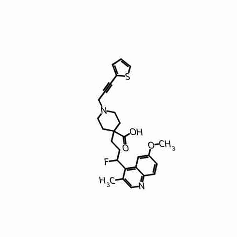 COc1ccc2ncc(C)c(C(F)CCC3(C(=O)O)CCN(CC#Cc4cccs4)CC3)c2c1